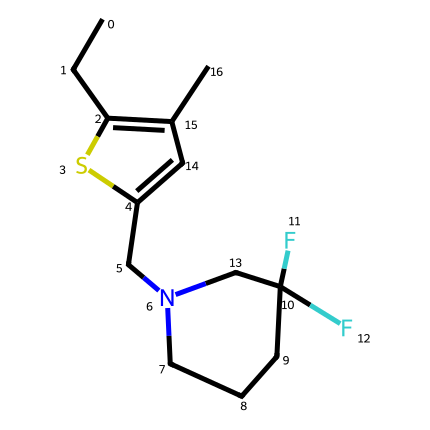 CCc1sc(CN2CCCC(F)(F)C2)cc1C